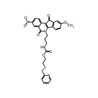 COc1ccc2c(c1)C(=O)c1c-2n(CCCNC(=O)OCCSSc2ccccn2)c(=O)c2cc([N+](=O)[O-])ccc12